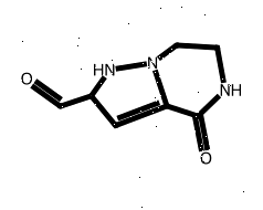 O=CC1C=C2C(=O)NCCN2N1